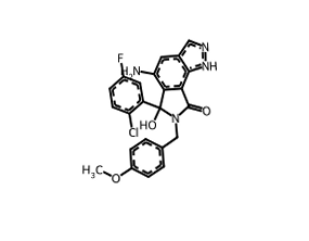 COc1ccc(CN2C(=O)c3c(c(N)cc4cn[nH]c34)C2(O)c2cc(F)ccc2Cl)cc1